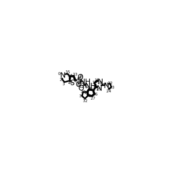 CN1CCc2sc(S(=O)(=O)NC(=O)Nc3c(-c4ccnc(N5CCC5)n4)ccc4c3CCC4)cc2C1